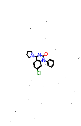 O=c1nc(N2CCCC2)c2ccc(Cl)cc2n1-c1ccccc1